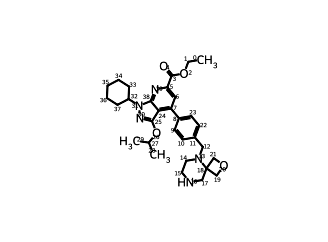 CCOC(=O)c1cc(-c2ccc(CN3CCNCC34COC4)cc2)c2c(OC(C)C)nn(C3CCCCC3)c2n1